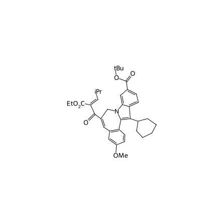 CCOC(=O)C(=CC(C)C)C(=O)C1=Cc2cc(OC)ccc2-c2c(C3CCCCC3)c3ccc(C(=O)OC(C)(C)C)cc3n2C1